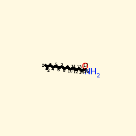 CC(C)CCCCCCCCCCCCC(N)=O